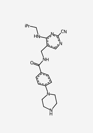 CC(C)CNc1nc(C#N)ncc1CNC(=O)c1ccc(N2CCNCC2)cc1